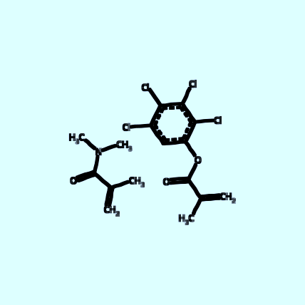 C=C(C)C(=O)N(C)C.C=C(C)C(=O)Oc1cc(Cl)c(Cl)c(Cl)c1Cl